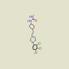 CNC(=O)NC1CCC(CCN2CCN(c3ccc(OC)c(Cl)c3Cl)CC2)CC1